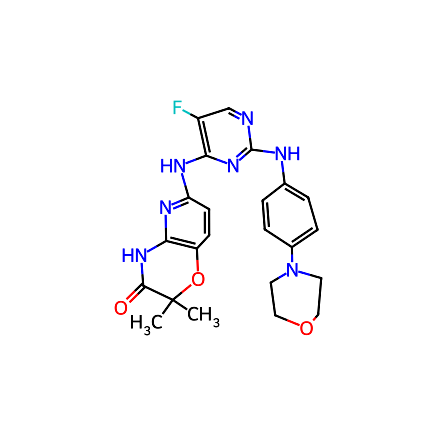 CC1(C)Oc2ccc(Nc3nc(Nc4ccc(N5CCOCC5)cc4)ncc3F)nc2NC1=O